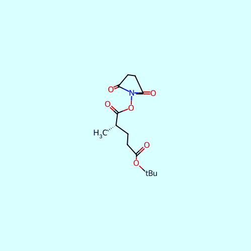 C[C@@H](CCC(=O)OC(C)(C)C)C(=O)ON1C(=O)CCC1=O